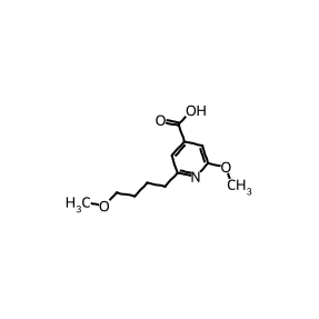 COCCCCc1cc(C(=O)O)cc(OC)n1